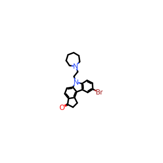 O=C1CCc2c1ccc1c2c2cc(Br)ccc2n1CCN1CCCCCC1